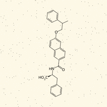 CC(COc1ccc2cc(C(=O)N[C@@H](Cc3ccccc3)C(=O)O)ccc2c1)c1ccccc1